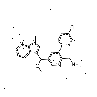 COC(c1cnc(CN)c(-c2ccc(Cl)cc2)c1)c1c[nH]c2ncccc12